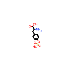 NC(Cc1ccc(OS(=O)(=O)O)cc1)C(=O)O